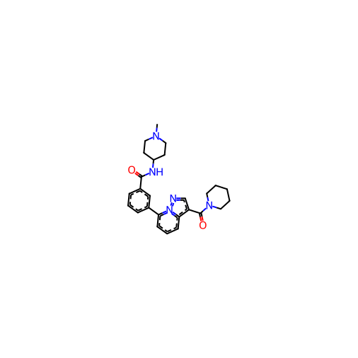 CN1CCC(NC(=O)c2cccc(-c3cccc4c(C(=O)N5CCCCC5)cnn34)c2)CC1